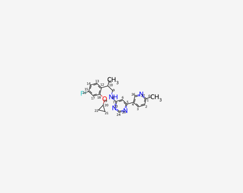 Cc1ccc(-c2cc(NCC(C)c3ccc(F)cc3OC3CC3)ncn2)cn1